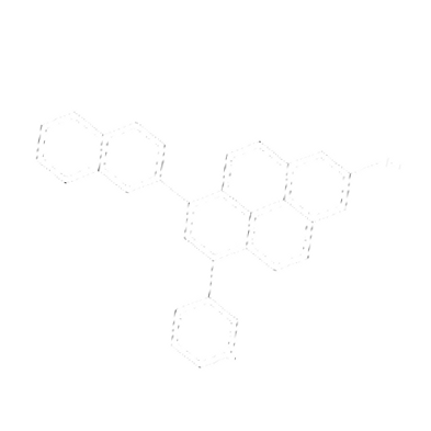 CC(C)(C)c1cc2ccc3c(-c4cccnc4)cc(-c4ccc5ccccc5c4)c4ccc(c1)c2c34